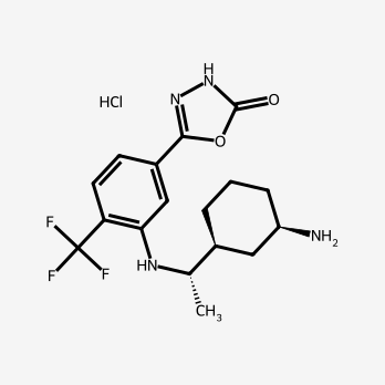 C[C@H](Nc1cc(-c2n[nH]c(=O)o2)ccc1C(F)(F)F)[C@H]1CCC[C@@H](N)C1.Cl